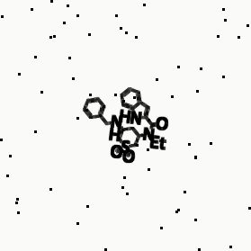 CCN(C(=O)c1cc2ccccc2[nH]1)[C@@H]1C[C@H](NCc2ccccc2)CS(=O)(=O)C1